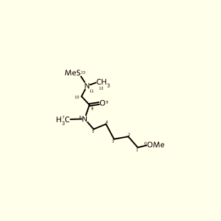 COCCCCCN(C)C(=O)CN(C)SC